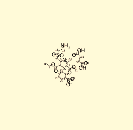 CCOC(=O)c1c(CS(=O)(=O)CCN)nc(C)c(C(=O)OC)c1-c1cccc([N+](=O)[O-])c1.O=C(O)/C=C/C(=O)O